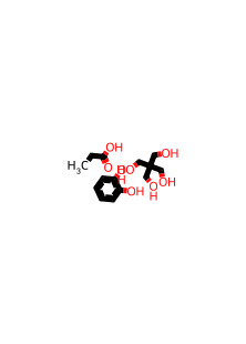 CCC(=O)O.OCC(CO)(CO)CO.Oc1ccccc1O